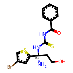 N[C@@](CCO)(NC(=S)NC(=O)c1ccccc1)c1cc(Br)cs1